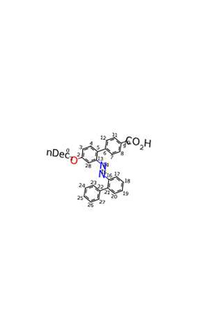 CCCCCCCCCCOc1ccc(-c2ccc(C(=O)O)cc2)c(N=Nc2ccccc2-c2ccccc2)c1